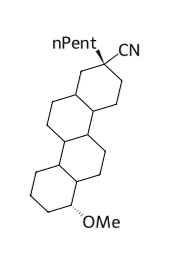 CCCCC[C@@]1(C#N)CCC2C(CCC3C2CCC2C3CCC[C@H]2OC)C1